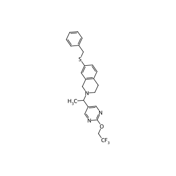 CC(c1cnc(OCC(F)(F)F)nc1)N1CCc2ccc(SCc3ccccc3)cc2C1